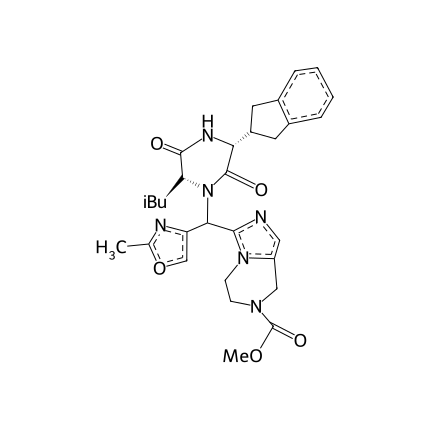 CC[C@H](C)[C@@H]1C(=O)N[C@H](C2Cc3ccccc3C2)C(=O)N1C(c1coc(C)n1)c1ncc2n1CCN(C(=O)OC)C2